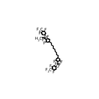 C=CC(F)(Oc1cc(F)c(C(F)(F)F)c(F)c1)c1c(F)cc(CCCCCCCCCc2cc(F)c(C(F)(F)Oc3cc(F)c(C(F)(F)F)c(F)c3)c(F)c2)cc1F